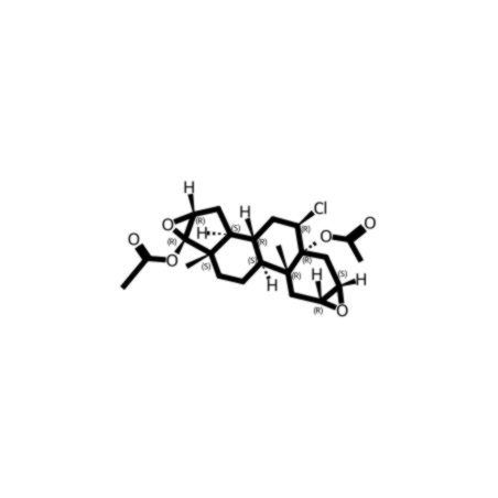 CC(=O)O[C@@]12O[C@@H]1C[C@H]1[C@@H]3C[C@@H](Cl)[C@@]4(OC(C)=O)C[C@@H]5O[C@@H]5C[C@]4(C)[C@H]3CC[C@@]12C